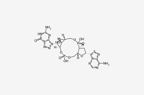 Nc1nc2c(nnn2[C@@H]2O[C@@H]3COP(=O)(O)[C@H]4C[C@H](c5snc6c(N)ncnc56)O[C@@H]4COP(=O)(O)O[C@@H]2[C@@H]3O)c(=O)[nH]1